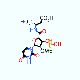 CO[C@H]1C(O[PH](O)=S)[C@@H](C(=O)N[C@H](CC(=O)O)C(=O)O)O[C@H]1n1ccc(=O)[nH]c1=O